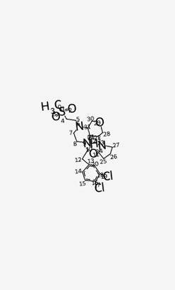 CS(=O)(=O)CCN1CCN(C(=O)Cc2ccc(Cl)c(Cl)c2)[C@@H]2C(N3CCCC3)COCC21